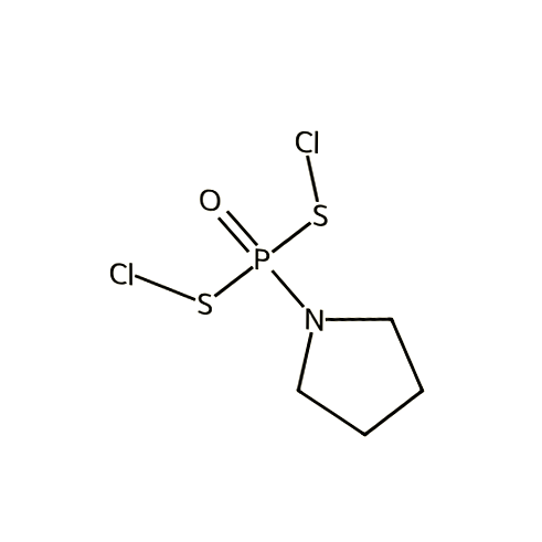 O=P(SCl)(SCl)N1CCCC1